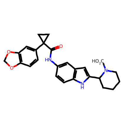 O=C(O)N1CCCCC1c1cc2cc(NC(=O)C3(c4ccc5c(c4)OCO5)CC3)ccc2[nH]1